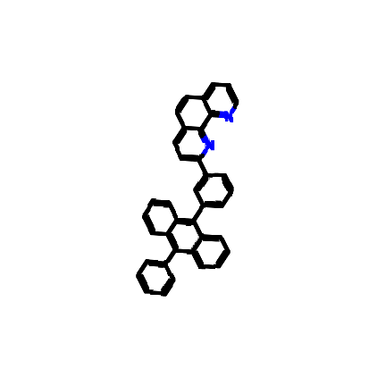 c1ccc(-c2c3ccccc3c(-c3cccc(-c4ccc5ccc6cccnc6c5n4)c3)c3ccccc23)cc1